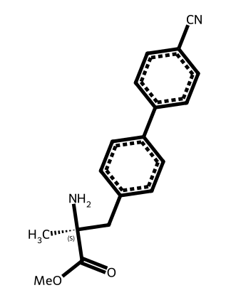 COC(=O)[C@@](C)(N)Cc1ccc(-c2ccc(C#N)cc2)cc1